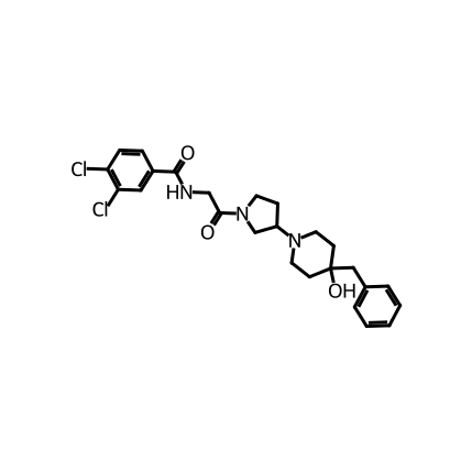 O=C(NCC(=O)N1CCC(N2CCC(O)(Cc3ccccc3)CC2)C1)c1ccc(Cl)c(Cl)c1